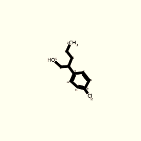 CC[CH]C(CO)c1ccc(Cl)cc1